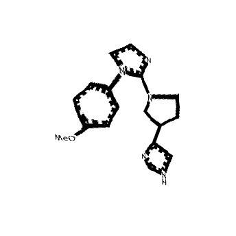 COc1ccc(-n2ccnc2N2CCC(c3c[nH]cn3)C2)cc1